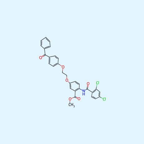 COC(=O)c1cc(OCCOc2ccc(C(=O)c3ccccc3)cc2)ccc1NC(=O)c1ccc(Cl)cc1Cl